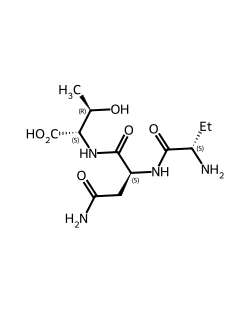 CC[C@H](N)C(=O)N[C@@H](CC(N)=O)C(=O)N[C@H](C(=O)O)[C@@H](C)O